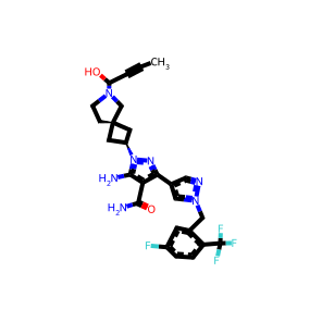 CC#CC(O)N1CC[C@]2(C1)C[C@H](n1nc(-c3cnn(Cc4cc(F)ccc4C(F)(F)F)c3)c(C(N)=O)c1N)C2